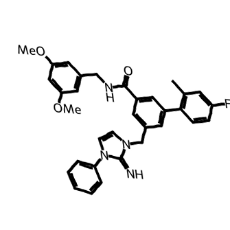 COc1cc(CNC(=O)c2cc(Cn3ccn(-c4ccccc4)c3=N)cc(-c3ccc(F)cc3C)c2)cc(OC)c1